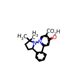 CC1(C)CCC2c3ccccc3-c3cc(=O)c(C(=O)O)cn3N21